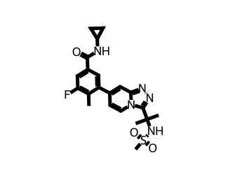 Cc1c(F)cc(C(=O)NC2CC2)cc1-c1ccn2c(C(C)(C)NS(C)(=O)=O)nnc2c1